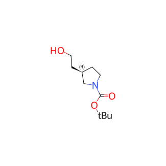 CC(C)(C)OC(=O)N1CC[C@H](CCO)C1